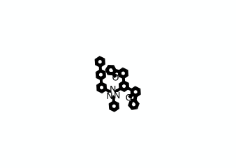 c1ccc(-c2ccc(-c3cccc(-c4nc(-c5ccccc5)nc(-c5cc(-c6cccc7c6oc6ccccc67)cc(-c6cccc7c6oc6ccccc67)c5)n4)c3)cc2)cc1